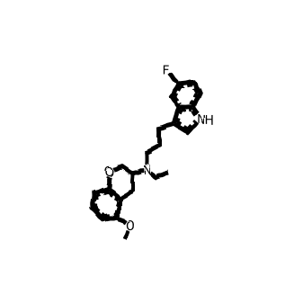 CCN(CCCc1c[nH]c2ccc(F)cc12)C1COc2cccc(OC)c2C1